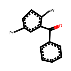 CC(C)c1ccc(C(C)C)c(C(=O)c2ccccc2)c1